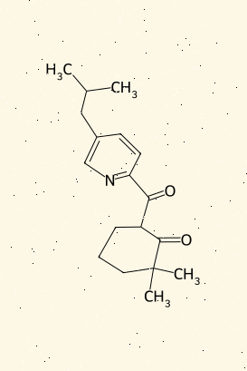 CC(C)Cc1ccc(C(=O)C2CCCC(C)(C)C2=O)nc1